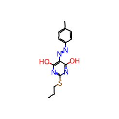 CCCSc1nc(O)c(N=Nc2ccc(C)cc2)c(O)n1